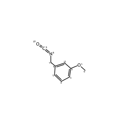 COc1cccc([CH]N=C=O)c1